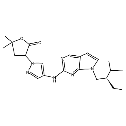 CC[C@@H](Cn1ccc2cnc(Nc3cnn(C4CC(C)(C)OC4=O)c3)nc21)C(C)C